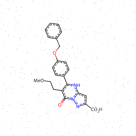 COCCc1c(-c2ccc(OCc3ccccc3)cc2)[nH]c2cc(C(=O)O)nn2c1=O